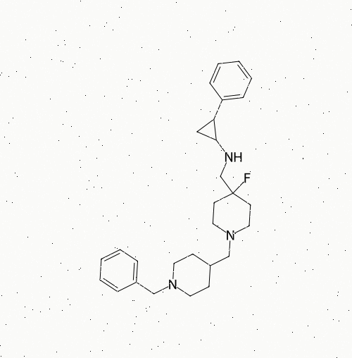 FC1(CNC2CC2c2ccccc2)CCN(CC2CCN(Cc3ccccc3)CC2)CC1